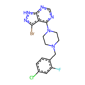 Fc1cc(Cl)ccc1CN1CCN(c2ncnc3[nH]nc(Br)c23)CC1